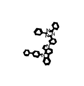 c1ccc(-c2ccc(-n3c4ccccc4c4ccc5c(ccn5-c5cccc(-c6nc(-c7ccccc7)nc(-c7ccccc7)n6)c5)c43)cc2)cc1